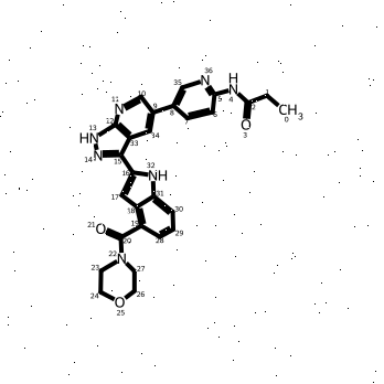 CCC(=O)Nc1ccc(-c2cnc3[nH]nc(-c4cc5c(C(=O)N6CCOCC6)cccc5[nH]4)c3c2)cn1